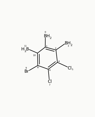 Bc1c(B)c(Cl)c(Cl)c(Br)c1B